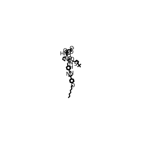 CCCCCCCOc1ccc(-c2cnc(-c3ccc(C[C@H](NC(=O)c4ccc(C(C)(C)C)s4)C(=O)N4CCC[C@H]4C(=O)NS(=O)(=O)CC(=O)OC)cc3)nc2)cc1